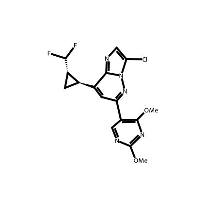 COc1ncc(-c2cc([C@H]3C[C@@H]3C(F)F)c3ncc(Cl)n3n2)c(OC)n1